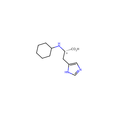 O=C(O)[C@H](Cc1cnc[nH]1)NC1CCCCC1